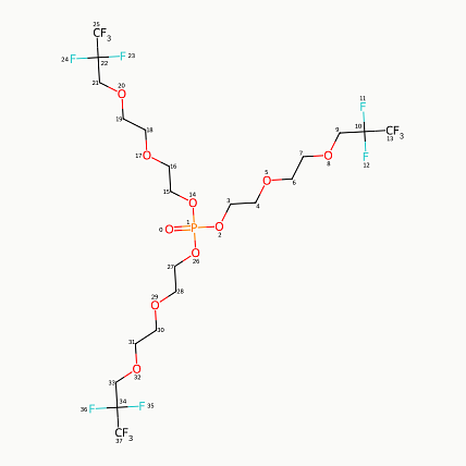 O=P(OCCOCCOCC(F)(F)C(F)(F)F)(OCCOCCOCC(F)(F)C(F)(F)F)OCCOCCOCC(F)(F)C(F)(F)F